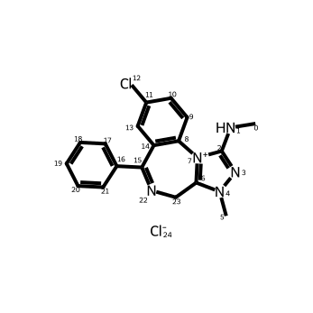 CNc1nn(C)c2[n+]1-c1ccc(Cl)cc1C(c1ccccc1)=NC2.[Cl-]